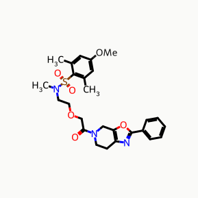 COc1cc(C)c(S(=O)(=O)N(C)CCOCC(=O)N2CCc3nc(-c4ccccc4)oc3C2)c(C)c1